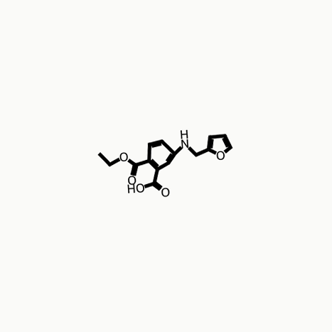 CCOC(=O)c1ccc(NCc2ccco2)cc1C(=O)O